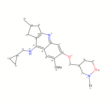 CCN1CC(COc2cc3nc4c(c(NCC5CC5)c3cc2OC)CC(C)C4)CCO1